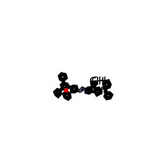 CCC1(CC)c2cc(/C=C/c3ccc(-c4cc(-c5ccccc5)cc(-c5ccccc5)c4-c4ccccc4)cc3)ccc2-c2ccc(N(c3ccccc3)c3ccccc3)cc21